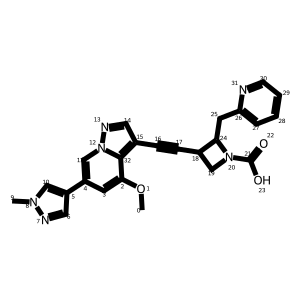 COc1cc(-c2cnn(C)c2)cn2ncc(C#CC3CN(C(=O)O)C3Cc3ccccn3)c12